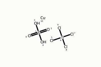 O=S(=O)(O)O.[Cl][Ti]([Cl])([Cl])[Cl].[Cu]